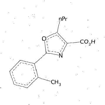 CCCc1oc(-c2ccccc2C)nc1C(=O)O